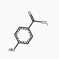 CCCCc1ccc(C(=O)C(Cl)(Cl)Cl)cc1